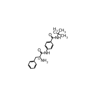 CC(C)(C)NC(=O)c1ccc(NC(=O)[C@@H](N)Cc2ccccc2)cc1